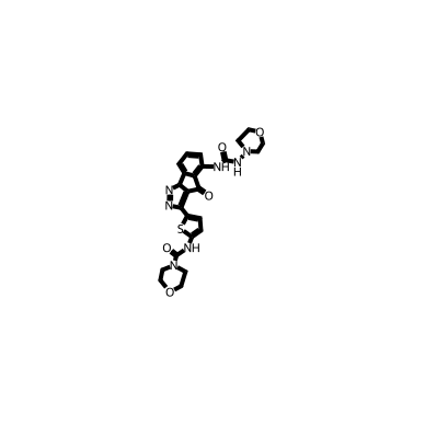 O=C(Nc1cccc2c1C(=O)C1=C(c3ccc(NC(=O)N4CCOCC4)s3)N=NC12)NN1CCOCC1